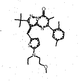 CCN(CCOC)c1ccc(/C=c2/c(C(C)(C)C)nn3c(=O)c(C)c(-c4cc(C)ccc4C)nc23)s1